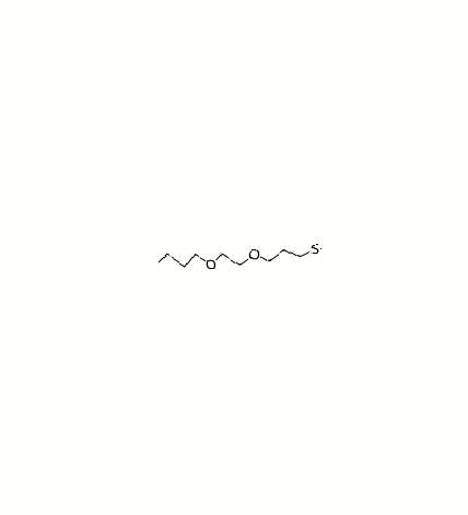 CCCCOCCOCCC[S]